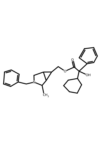 CC1C2C(COC(=O)C(O)(c3ccccc3)C3CCCCC3)C2CN1Cc1ccccc1